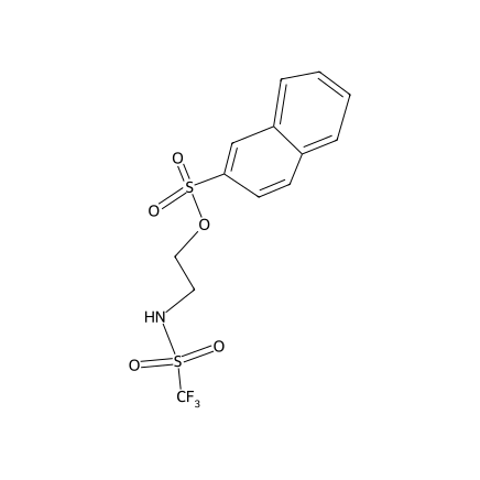 O=S(=O)(OCCNS(=O)(=O)C(F)(F)F)c1ccc2ccccc2c1